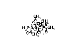 CC=CC(C)(CC(C)(C)C(C)=O)SC(C)(C)CC(C)(SC)C(C)=O